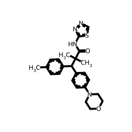 Cc1ccc(C(c2ccc(N3CCOCC3)cc2)C(C)(C)C(=O)Nc2nncs2)cc1